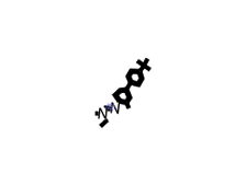 CCN(C)/C=N/c1ccc(-c2ccc(C(C)(C)C)cc2)cc1C